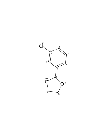 Clc1cccc(C2OCCO2)c1